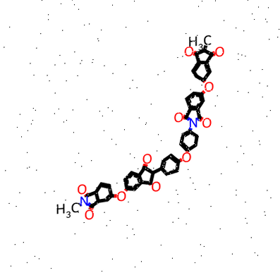 CC1C(=O)C2=CCC(Oc3ccc4c(c3)C(=O)N(C3=CC=C(OC5=CC=C(C6C(=O)c7ccc(OC8=CC9C(=O)N(C)C(=O)C9C=C8)cc7C6=O)CC5)CC3)C4=O)C=C2C1=O